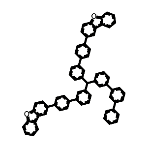 c1ccc(-c2cccc(-c3cccc(C(c4cccc(-c5ccc(-c6ccc7oc8ccccc8c7c6)cc5)c4)c4cccc(-c5ccc(-c6ccc7oc8ccccc8c7c6)cc5)c4)c3)c2)cc1